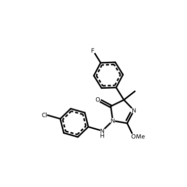 COC1=NC(C)(c2ccc(F)cc2)C(=O)N1Nc1ccc(Cl)cc1